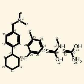 CN(C)Cc1ccc(C2CCCCC2)cc1.CNC(O)=S.Cc1cccc(F)c1.NC(O)=S